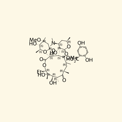 CC[C@H]1OC(=O)[C@H](C)[C@@H](O[C@H]2C[C@@](C)(OC)[C@@H](O)[C@H](C)O2)[C@H](C)[C@@H](O[C@@H]2O[C@H](C)C[C@H](N(C)C)[C@H]2O)[C@](C)(OC)C[C@@H](C)C(=O)[C@H](C)[C@@H](O)[C@]1(C)O.O=C(O)c1cc(O)ccc1O